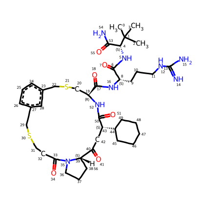 CC(C)(C)[C@H](NC(=O)[C@H](CCCNC(=N)N)NC(=O)[C@@H]1CSCc2cccc(c2)CSCCC(=O)N2CCC[C@H]2C(=O)C[C@@H](C2CCCCC2)C(=O)N1)C(N)=O